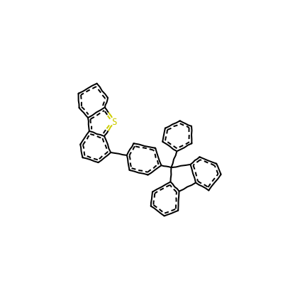 c1ccc(C2(c3ccc(-c4cccc5c4sc4ccccc45)cc3)c3ccccc3-c3ccccc32)cc1